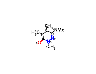 CNC1=NN(C)C(=O)C(C)C1C